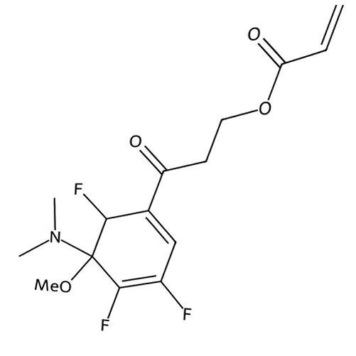 C=CC(=O)OCCC(=O)C1=CC(F)=C(F)C(OC)(N(C)C)C1F